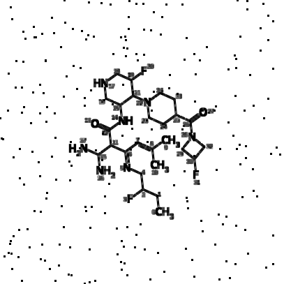 CCC(F)C/N=C(\C=C(C)C)C(C(=O)NC1CNCC(F)C1N1CCC(C(=O)N2CC(F)C2)CC1)C(N)N